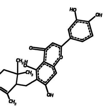 CC1=CCCC(C)(C)C1Cc1c(O)cc2oc(-c3ccc(O)c(O)c3)cc(=O)c2c1O